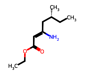 CCOC(=O)/C=C(\N)C[C@H](C)CC